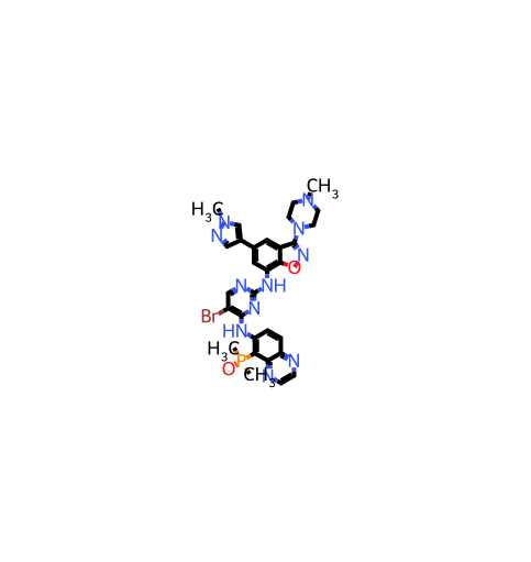 CN1CCN(c2noc3c(Nc4ncc(Br)c(Nc5ccc6nccnc6c5P(C)(C)=O)n4)cc(-c4cnn(C)c4)cc23)CC1